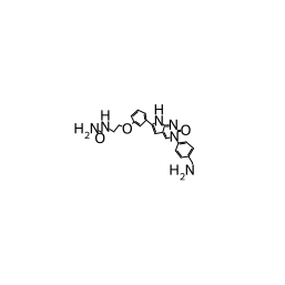 NCc1ccc(-n2cc3cc(-c4cccc(OCCNC(N)=O)c4)[nH]c3nc2=O)cc1